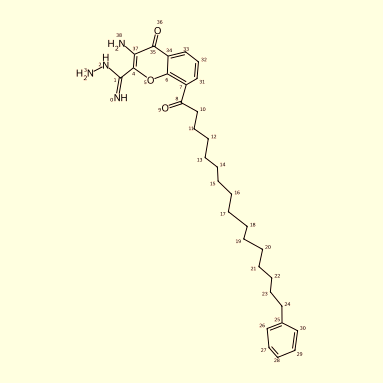 N=C(NN)c1oc2c(C(=O)CCCCCCCCCCCCCCCc3ccccc3)cccc2c(=O)c1N